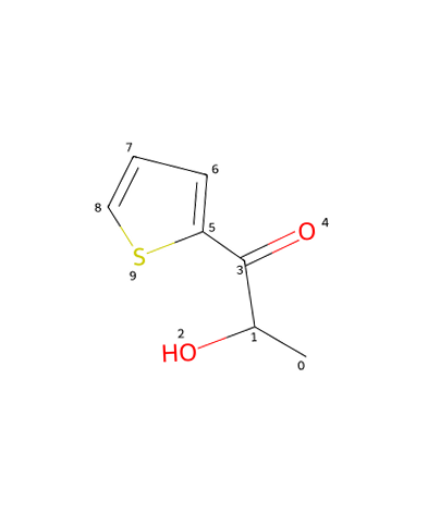 CC(O)C(=O)c1cccs1